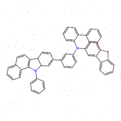 C1=CC2c3ccc4ccccc4c3N(c3ccccc3)C2C=C1c1cccc(N(c2ccc3sc4ccccc4c3c2)c2ccccc2-c2ccccc2)c1